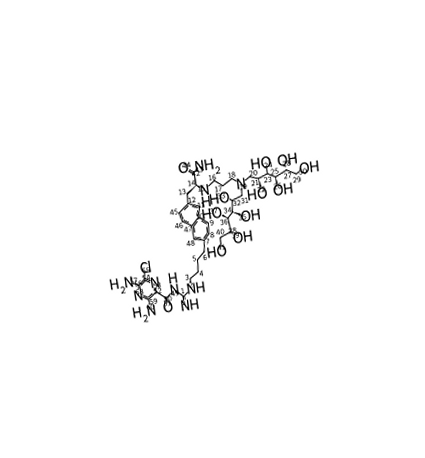 N=C(NCCCCc1ccc2cc(C[C@H](NCCCN(C[C@H](O)C(O)[C@H](O)[C@H](O)CO)C[C@H](O)[C@@H](O)[C@H](O)[C@H](O)CO)C(N)=O)ccc2c1)NC(=O)c1nc(Cl)c(N)nc1N